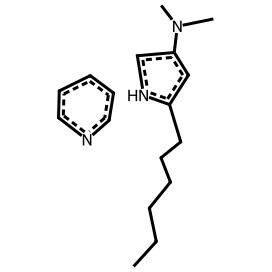 CCCCCCc1cc(N(C)C)c[nH]1.c1ccncc1